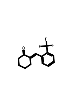 O=C1CCCC/C1=C\c1ccccc1C(F)(F)F